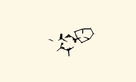 CC(C)(C)OC(=O)N[C@@H]1C[C@H]2CC[C@@H](C1)N2c1cnc(C=O)c(Cl)n1